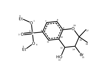 CCOP(=O)(OCC)c1ccc2c(c1)C(O)C(Br)C(C)(C)O2